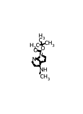 CCNc1ccnc2c1ccn2C(=O)OC(C)(C)C